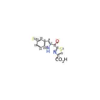 O=C(O)c1csc(C(=O)c2cc3cc(F)ccc3[nH]2)n1